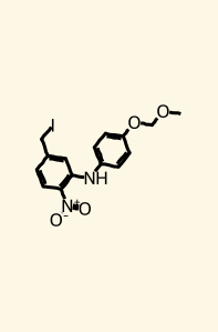 COCOc1ccc(Nc2cc(CI)ccc2[N+](=O)[O-])cc1